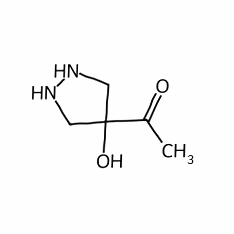 CC(=O)C1(O)CNNC1